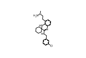 CN(N)CCc1cccc2c1NC1(CCCCC1)C(NCc1cccc(Cl)c1)=N2